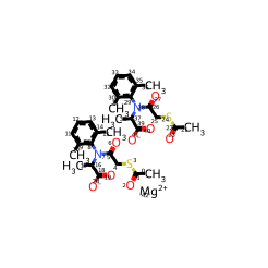 CC(=O)SCC(=O)N(c1c(C)cccc1C)C(C)C(=O)[O-].CC(=O)SCC(=O)N(c1c(C)cccc1C)C(C)C(=O)[O-].[Mg+2]